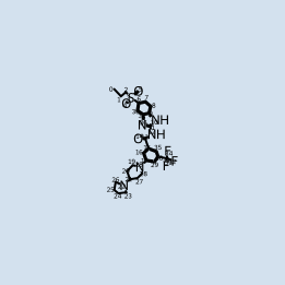 CCCS(=O)(=O)c1ccc2[nH]c(NC(=O)c3cc(N4CCC(N5CCCC5)CC4)cc(C(F)(F)F)c3)nc2c1